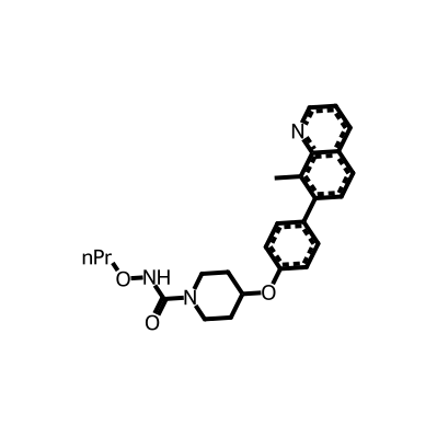 CCCONC(=O)N1CCC(Oc2ccc(-c3ccc4cccnc4c3C)cc2)CC1